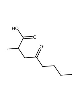 CCCCC(=O)CC(C)C(=O)O